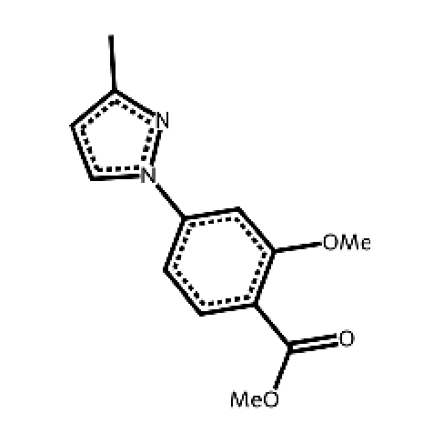 COC(=O)c1ccc(-n2ccc(C)n2)cc1OC